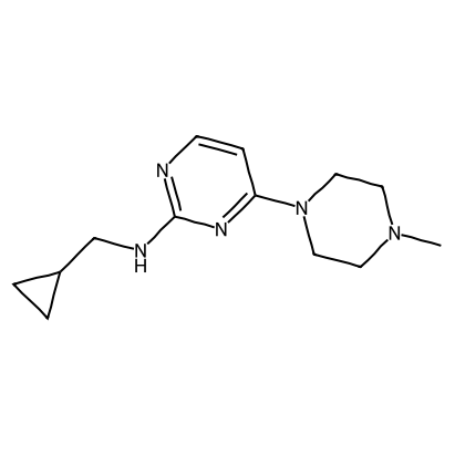 CN1CCN(c2ccnc(NCC3CC3)n2)CC1